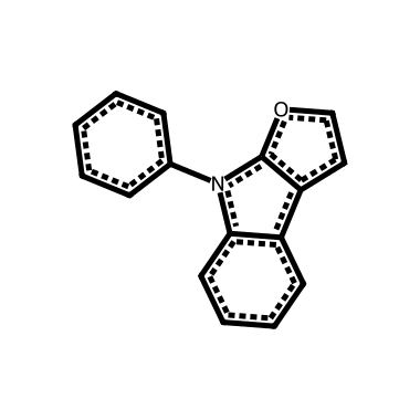 c1ccc(-n2c3ccccc3c3ccoc32)cc1